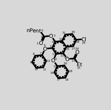 CCCCCC(=O)Oc1c(Oc2ccccc2)c(Oc2ccccc2)c(OC(=O)CC)c2cc(Cl)ccc12